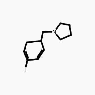 IC1=CCC(CN2CCCC2)C=C1